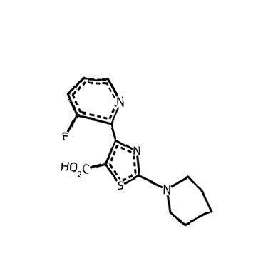 O=C(O)c1sc(N2CCCCC2)nc1-c1ncccc1F